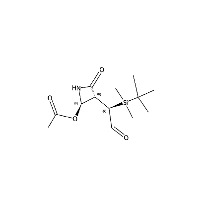 CC(=O)O[C@H]1NC(=O)[C@@H]1[C@H](C=O)[Si](C)(C)C(C)(C)C